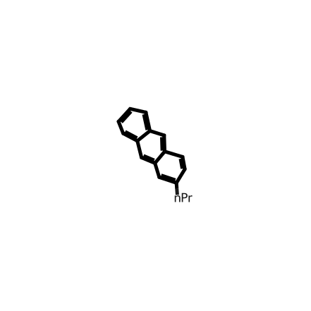 [CH2]CCc1ccc2cc3ccccc3cc2c1